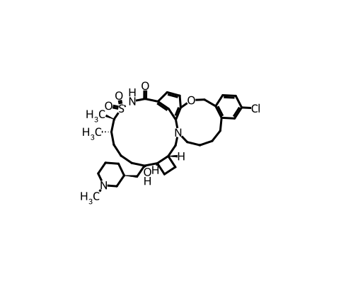 C[C@@H]1[C@@H](C)CCC[C@@](O)(C[C@@H]2CCCN(C)C2)[C@@H]2CC[C@H]2CN2CCCCc3cc(Cl)ccc3COc3ccc(cc32)C(=O)NS1(=O)=O